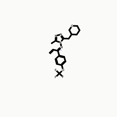 C=C/C(=N\n1c(C)nnc1CC1CCCOC1)c1ccc(OC(F)(F)F)cc1